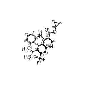 CC(C)c1cc2c(Nc3ccccc3)c(C(=O)OC3CC3)cnc2cc1C(F)(F)F